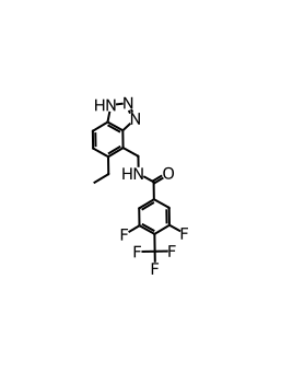 CCc1ccc2[nH]nnc2c1CNC(=O)c1cc(F)c(C(F)(F)F)c(F)c1